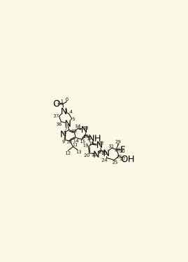 CC(=O)N1CCN(c2ncc(C(C)C)c3cc(Nc4ccnc(N5CC[C@@H](O)[C@@](C)(F)C5)n4)ncc23)CC1